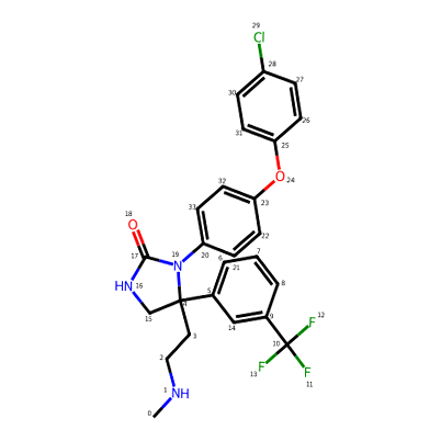 CNCCC1(c2cccc(C(F)(F)F)c2)CNC(=O)N1c1ccc(Oc2ccc(Cl)cc2)cc1